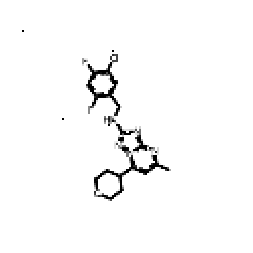 Cc1cc(C2CCOCC2)n2nc(NCc3cc(Cl)c(F)cc3F)nc2n1